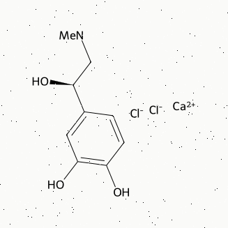 CNC[C@H](O)c1ccc(O)c(O)c1.[Ca+2].[Cl-].[Cl-]